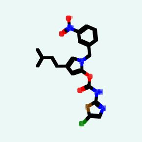 CC(C)CCc1cc(OC(=O)Nc2ncc(Cl)s2)n(Cc2cccc([N+](=O)[O-])c2)c1